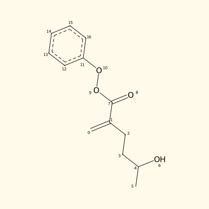 C=C(CCC(C)O)C(=O)OOc1ccccc1